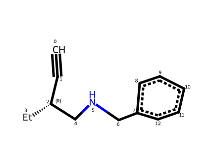 C#C[C@@H](CC)CNCc1ccccc1